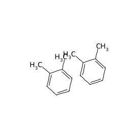 Cc1ccccc1C.Cc1ccccc1C